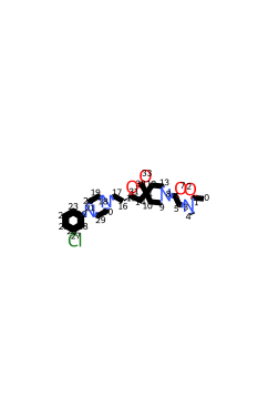 CC(=O)N(C)CC(=O)N1CCC2(CC1)C[C@H](CCN1CCN(c3cccc(Cl)c3)CC1)OC2=O